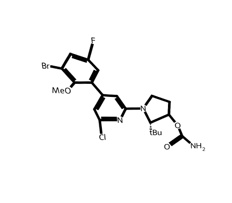 COc1c(Br)cc(F)cc1-c1cc(Cl)nc(N2CCC(OC(N)=O)[C@@H]2C(C)(C)C)c1